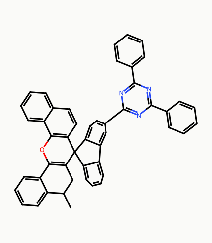 CC1CC2=C(Oc3c(ccc4ccccc34)C23c2ccccc2-c2cc(-c4nc(-c5ccccc5)nc(-c5ccccc5)n4)ccc23)c2ccccc21